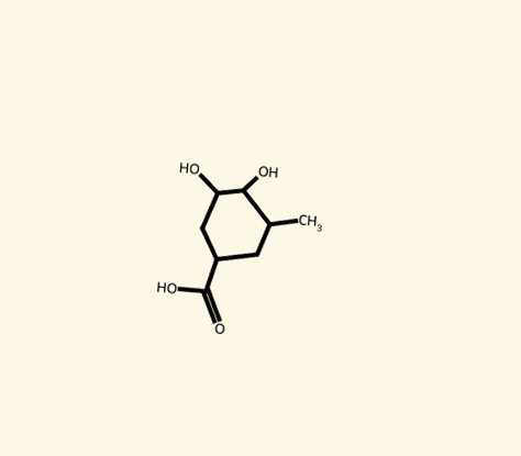 CC1CC(C(=O)O)CC(O)C1O